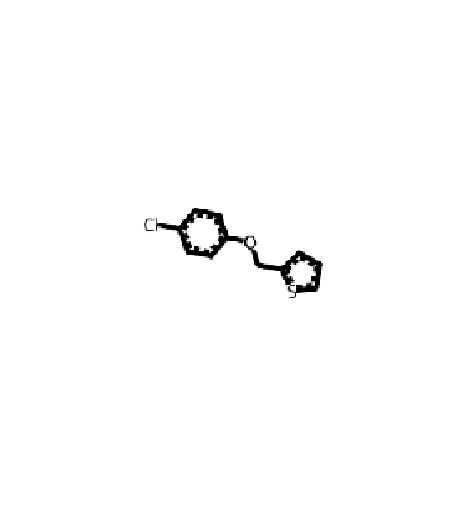 Clc1ccc(OCc2cccs2)cc1